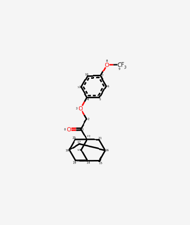 O=C(COc1ccc(OC(F)(F)F)cc1)C12CC3CC(CC(C3)C1)C2